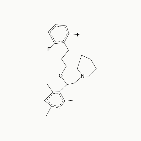 Cc1cc(C)c(C(CN2CCCCC2)OCCCc2c(F)cccc2F)c(C)c1